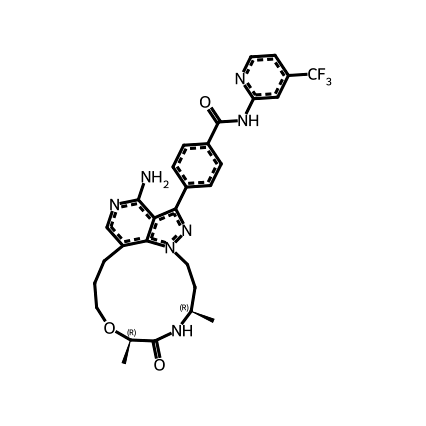 C[C@@H]1CCn2nc(-c3ccc(C(=O)Nc4cc(C(F)(F)F)ccn4)cc3)c3c(N)ncc(c32)CCCO[C@H](C)C(=O)N1